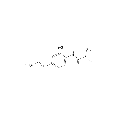 CCOC(=O)/C=C/c1ccc(NC(=O)[C@@H](C)N)cc1.Cl